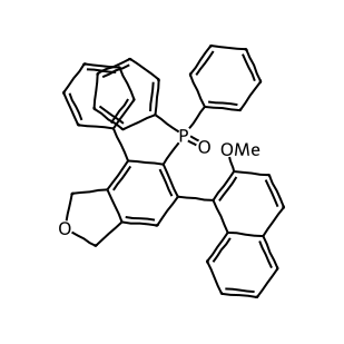 COc1ccc2ccccc2c1-c1cc2c(c(-c3ccccc3)c1P(=O)(c1ccccc1)c1ccccc1)COC2